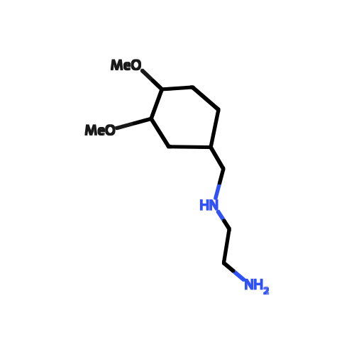 COC1CCC(CNCCN)CC1OC